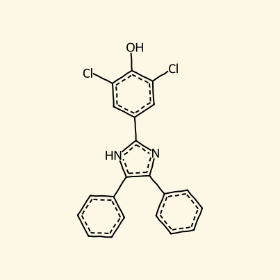 Oc1c(Cl)cc(-c2nc(-c3ccccc3)c(-c3ccccc3)[nH]2)cc1Cl